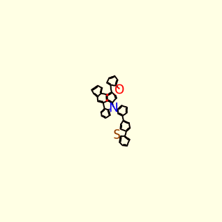 c1cc(-c2ccc3c(c2)sc2ccccc23)cc(N(c2ccc3c(c2)oc2ccccc23)c2ccccc2-c2ccc3ccccc3c2)c1